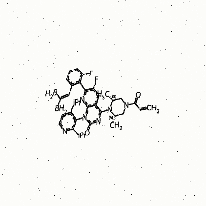 BC(B)=Cc1cccc(F)c1-c1nc2c(cc1F)c(N1[C@@H](C)CN(C(=O)C=C)C[C@@H]1C)nc(=O)n2-c1c(C(C)C)ccnc1C(C)C